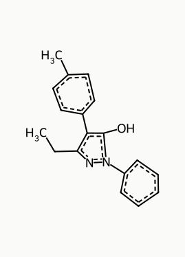 CCc1nn(-c2ccccc2)c(O)c1-c1ccc(C)cc1